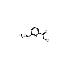 C=Cc1cccc(C(=O)CCl)n1